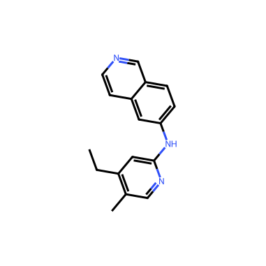 CCc1cc(Nc2ccc3cnccc3c2)ncc1C